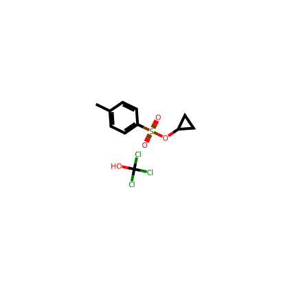 Cc1ccc(S(=O)(=O)OC2CC2)cc1.OC(Cl)(Cl)Cl